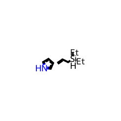 C=CC[SiH](CC)CC.c1cc[nH]c1